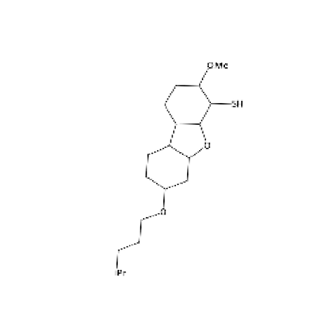 COC1CCC2C3CCC(OCCCC(C)C)CC3OC2C1S